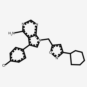 Nc1ncnc2c1c(-c1ccc(Cl)cc1)cn2Cc1cc(C2CCCCC2)no1